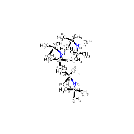 C[Si](C)(C)[N-][Si](C)(C)C.C[Si](C)(C)[N-][Si](C)(C)C.C[Si](C)(C)[N-][Si](C)(C)C.[Tb+3]